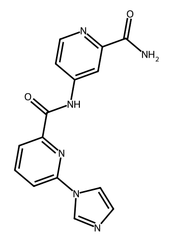 NC(=O)c1cc(NC(=O)c2cccc(-n3ccnc3)n2)ccn1